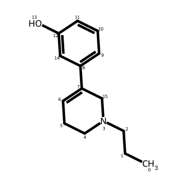 CCCN1CCC=C(c2cccc(O)c2)C1